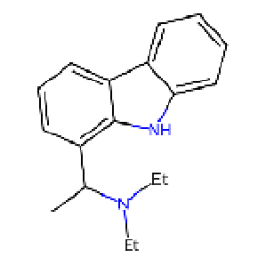 CCN(CC)C(C)c1cccc2c1[nH]c1ccccc12